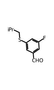 CC(C)CSc1cc(F)cc(C=O)c1